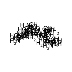 NCC1O[C@H](OC2C(N)C[C@@H](N)C(O)[C@H]2O[C@@H]2O[C@H](CNC(=O)Nc3ccc(NC(=O)NC[C@H]4O[C@@H](OC5C(O[C@@H]6OC(CN)C(O)[C@H](O)C6N)C(N)C[C@H](N)[C@@H]5O)C(O)C4O[C@@H]4O[C@H](CN)C(O)C(O)C4N)cc3)C(O[C@H]3O[C@@H](CN)C(O)C(O)C3N)[C@@H]2O)C(N)[C@@H](O)C1O